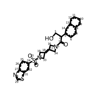 O=C(C(CO)c1ccc2ccccc2c1)N1CC(=C2CN(S(=O)(=O)c3ccc4ncsc4c3)C2)C1